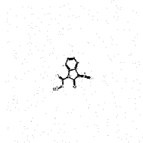 CC(C)(C)OC(=O)N1C(=O)C(=[N+]=[N-])c2ccccc21